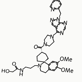 COc1cc2c(cc1OC)[C@]1(CC[C@@H](C(=O)N3CCN(c4ncnc5c4cnn5Cc4ccccn4)CC3)CC1)N(CCCNC(=O)CO)CC2